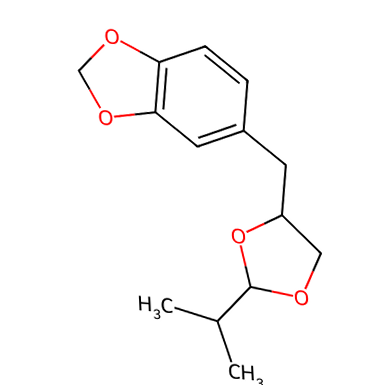 CC(C)C1OCC(Cc2ccc3c(c2)OCO3)O1